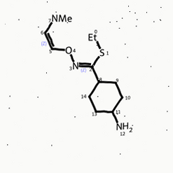 CCS/C(=N\O/C=C\NC)C1CCC(N)CC1